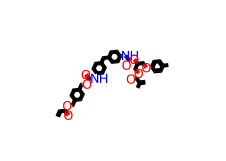 C=CC(=O)OCC1CCC(COC(=O)NC2CCC(CC3CCC(NC(=O)OC(COC(=O)C(=C)C)COc4ccc(C)cc4)CC3)CC2)CC1